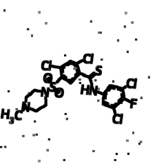 CN1CCN(S(=O)(=O)c2cc(C(=S)Nc3cc(Cl)c(F)c(Cl)c3)c(Cl)cc2Cl)CC1